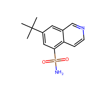 CC(C)(C)c1cc(S(N)(=O)=O)c2ccncc2c1